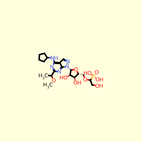 COC(C)c1nc(NC2CCCC2)c2cnn([C@@H]3O[C@H](COC(CO)P(=O)(O)O)[C@@H](O)[C@H]3O)c2n1